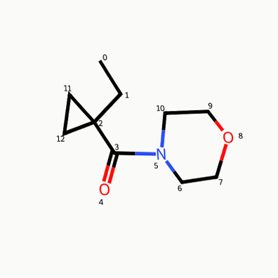 CCC1(C(=O)N2CCOCC2)CC1